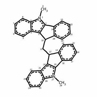 Cn1c2c(c3ccccc31)C(CC1c3ccccc3-c3c1c1ccccc1n3C)c1ccccc1-2